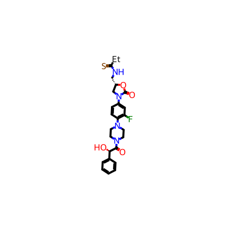 CCC(=S)NC[C@H]1CN(c2ccc(N3CCN(C(=O)[C@H](O)c4ccccc4)CC3)c(F)c2)C(=O)O1